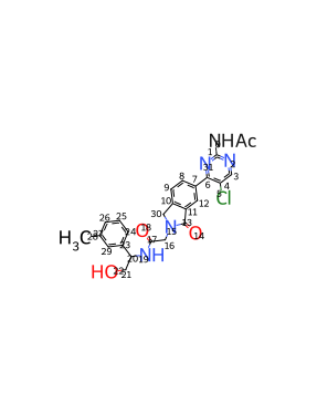 CC(=O)Nc1ncc(Cl)c(-c2ccc3c(c2)C(=O)N(CC(=O)NC(CO)c2cccc(C)c2)C3)n1